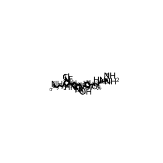 C[C@H](N)CCCc1cc(Cl)c(F)c(-c2cc3c([nH]2)=NC(O)N(c2ccc(CO[C@@H](C)CCNC(=N)N)cc2)C=3)c1